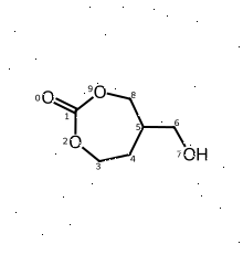 O=C1OCCC(CO)CO1